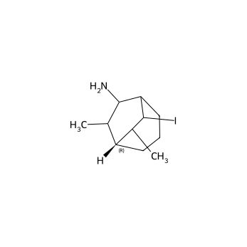 CC1C(N)C2CCC[C@H]1C(C)C2I